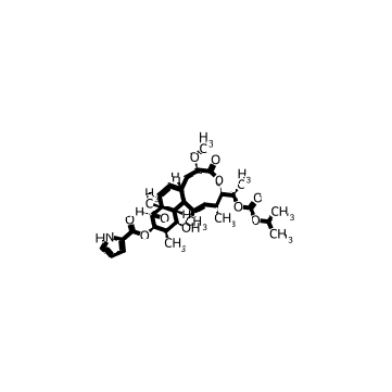 CO[C@H]1C[C@H]2C=C[C@]3(C)[C@H]4[C@H](O)[C@@H](C)[C@@H](OC(=O)c5ccc[nH]5)[C@@H]3O[C@@]24/C(C)=C/[C@@H](C)[C@@H]([C@@H](C)OC(=O)OC(C)C)OC1=O